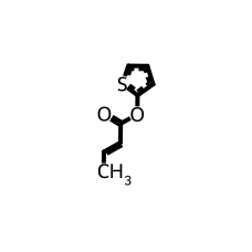 CC=CC(=O)Oc1cccs1